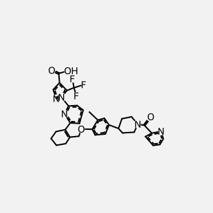 Cc1cc(C2CCN(C(=O)c3ccccn3)CC2)ccc1OCC1=C(c2cccc(-n3ncc(C(=O)O)c3C(F)(F)F)n2)CCCC1